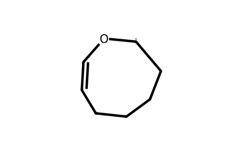 [CH]1CCCC/C=C\O1